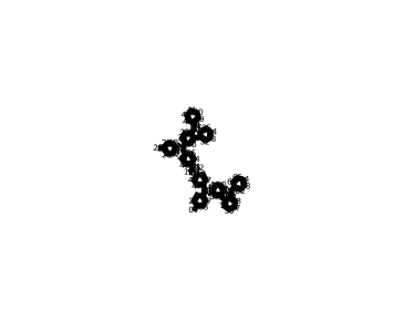 Cc1ccc(N(c2ccc([Si](C)(C)c3ccc(N(c4ccc(C)cc4)c4ccc5c(c4)c4ccccc4n5-c4ccccc4)cc3)cc2)c2ccc3c(c2)c2ccccc2n3-c2ccccc2)cc1